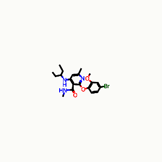 CCC(CC)Nc1cc(C)nc(Oc2ccc(Br)cc2OC)c1C(=O)NC